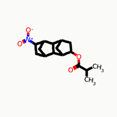 CC(C)C(=O)OC1CC2CC1C1C3CC(C21)C([N+](=O)[O-])C3